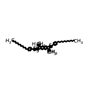 CCCCCCCCCCCCc1ccc(-c2cc3c(s2)-c2cc4cc5c(cc4cc2C3(CC)CC)-c2sc3cc(-c4ccc(CCCCCCCCCCCC)cc4)sc3c2C5(CC)CC)cc1